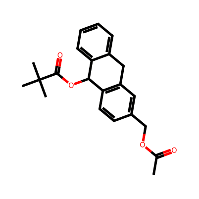 CC(=O)OCc1ccc2c(c1)Cc1ccccc1C2OC(=O)C(C)(C)C